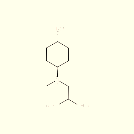 CCCCCCC(CCCCCC)CN(C)[C@H]1CC[C@H](NC)CC1